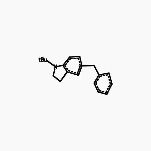 CC(C)(C)N1CCc2cc(Cc3ccccc3)ccc21